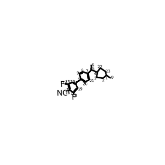 CC1CCC(C(C)c2ccc(-c3cc(F)c(C#N)c(F)c3)cc2)CC1